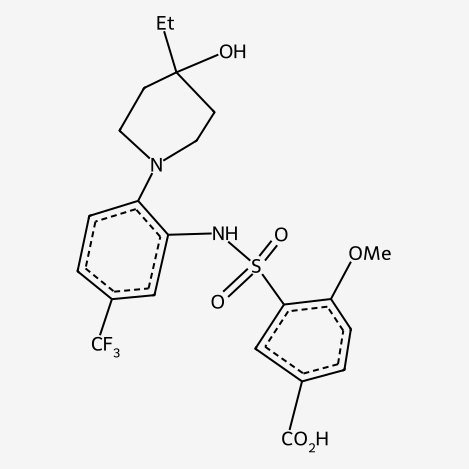 CCC1(O)CCN(c2ccc(C(F)(F)F)cc2NS(=O)(=O)c2cc(C(=O)O)ccc2OC)CC1